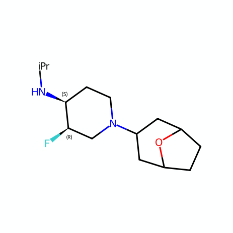 CC(C)N[C@H]1CCN(C2CC3CCC(C2)O3)C[C@H]1F